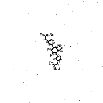 CCCCC(CC)Cc1csc(-c2c(F)c(F)c(-c3cc(CC(CC)CCCC)cs3)c3nsnc23)c1